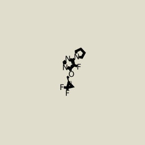 Fc1c(OC[C@H]2CC2(F)F)ncnc1N1CCCC1